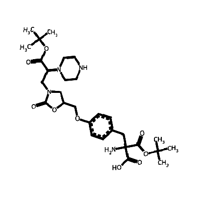 CC(C)(C)OC(=O)C(CN1CC(COc2ccc(CC(N)(C(=O)O)C(=O)OC(C)(C)C)cc2)OC1=O)N1CCNCC1